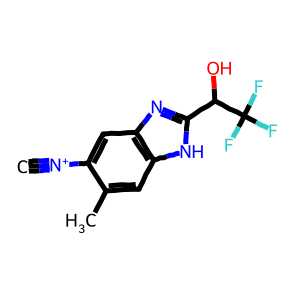 [C-]#[N+]c1cc2nc(C(O)C(F)(F)F)[nH]c2cc1C